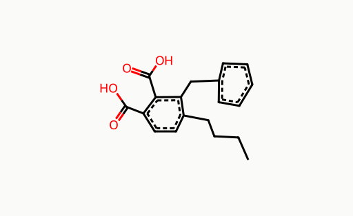 CCCCc1ccc(C(=O)O)c(C(=O)O)c1Cc1ccccc1